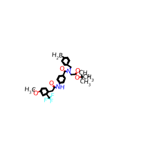 Bc1ccc(CN(CC(=O)OC(C)(C)C)C(=O)c2ccc(NC(=O)Cc3ccc(OC)cc3C(F)(F)F)cc2)cc1